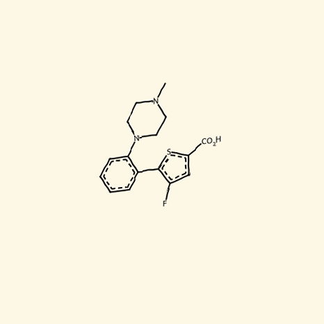 CN1CCN(c2ccccc2-c2sc(C(=O)O)cc2F)CC1